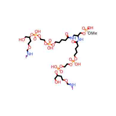 COP(=O)(O)OCC(CNC(=O)CCCCOP(=O)(O)OCCOP(=O)(O)OC(CO)CCOCNI)NC(=O)CCCCOP(=O)(O)OCCOP(=O)(O)OC(CO)CCOCNI